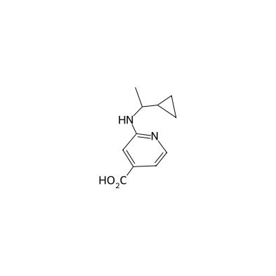 CC(Nc1cc(C(=O)O)ccn1)C1CC1